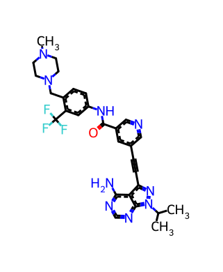 CC(C)n1nc(C#Cc2cncc(C(=O)Nc3ccc(CN4CCN(C)CC4)c(C(F)(F)F)c3)c2)c2c(N)ncnc21